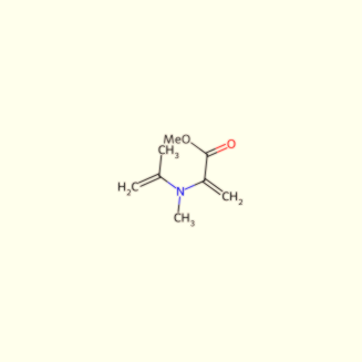 C=C(C)N(C)C(=C)C(=O)OC